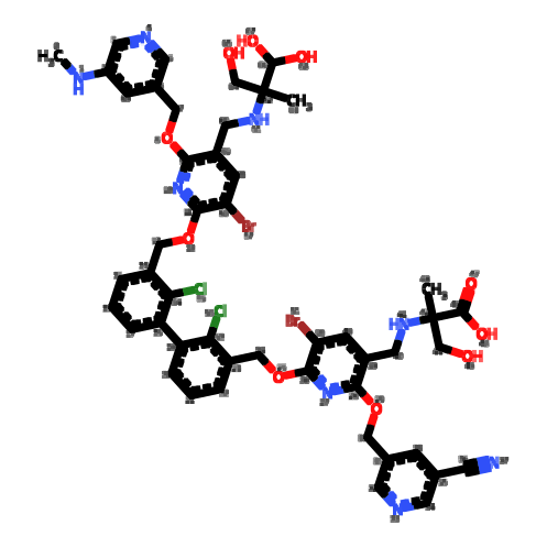 CNc1cncc(COc2nc(OCc3cccc(-c4cccc(COc5nc(OCc6cncc(C#N)c6)c(CNC(C)(CO)C(=O)O)cc5Br)c4Cl)c3Cl)c(Br)cc2CNC(C)(CO)C(O)O)c1